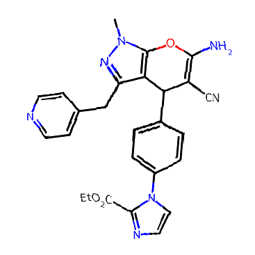 CCOC(=O)c1nccn1-c1ccc(C2C(C#N)=C(N)Oc3c2c(Cc2ccncc2)nn3C)cc1